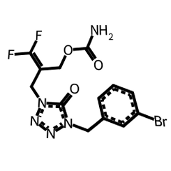 NC(=O)OCC(Cn1nnn(Cc2cccc(Br)c2)c1=O)=C(F)F